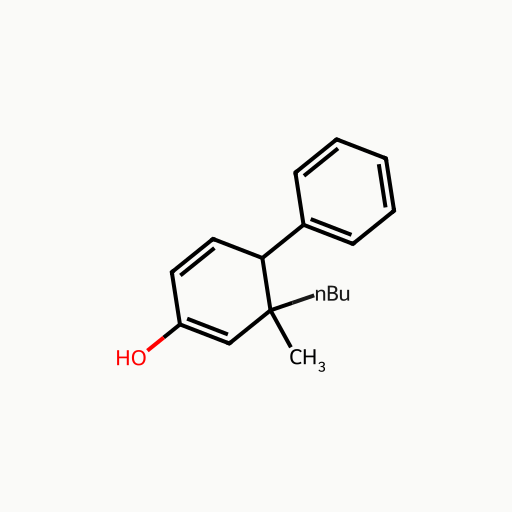 CCCCC1(C)C=C(O)C=CC1c1ccccc1